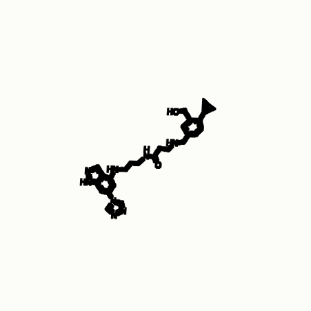 O=C(CCNCc1ccc(C2CC2)c(CO)c1)NCCCNc1cc(-n2cnnc2)cc2[nH]ncc12